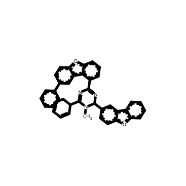 CN1C(C2C=CC=CC2)=NC(c2cccc3oc4ccc(-c5ccccc5)cc4c23)=NC1c1ccc2oc3ccccc3c2c1